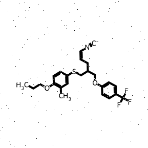 [C-]#[N+]/C=C\CC(COc1ccc(C(F)(F)F)cc1)CSc1ccc(OCCC)c(C)c1